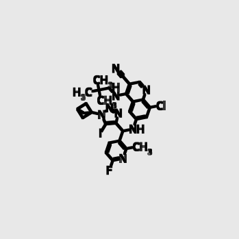 Cc1nc(F)ccc1C(Nc1cc(Cl)c2ncc(C#N)c(NCC(C)(C)C)c2c1)c1nnn(C23CC(C2)C3)c1I